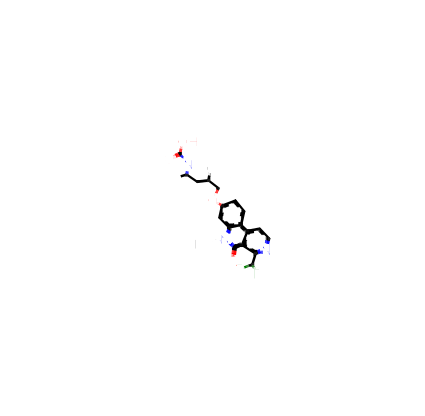 CC(COc1ccc2c3ccnc(C(F)F)c3c(=O)n(C)c2c1)CC(C)NC(=O)O